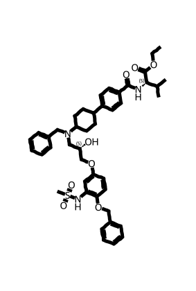 CCOC(=O)[C@@H](NC(=O)c1ccc(C2CCC(N(Cc3ccccc3)C[C@H](O)COc3ccc(OCc4ccccc4)c(NS(C)(=O)=O)c3)CC2)cc1)C(C)C